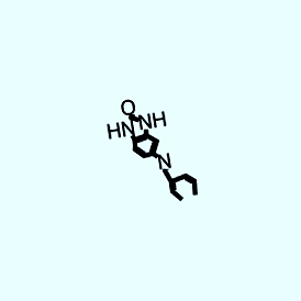 C\C=C/C(/C=N/c1ccc2[nH]c(=O)[nH]c2c1)=C\C